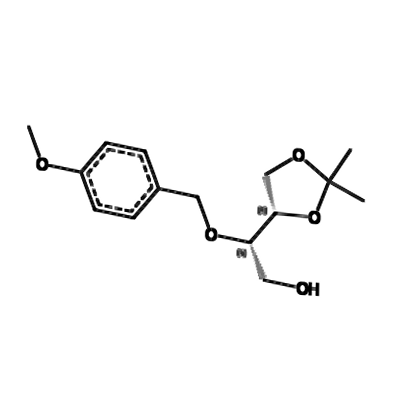 COc1ccc(CO[C@@H](CO)[C@@H]2COC(C)(C)O2)cc1